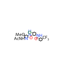 COc1cc(NC(=O)c2cc(NC(=O)c3cccc(C(F)(F)F)c3)ccc2Cl)cnc1NC(C)=O